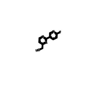 OCc1ccnc(-c2ccc(F)nc2)n1